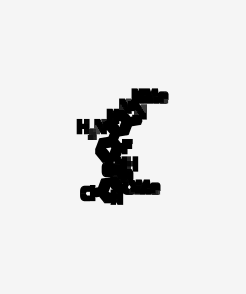 CNc1ncc2cc(-c3cccc(NS(=O)(=O)c4cc(Cl)cnc4OC)c3F)c(N)nc2n1